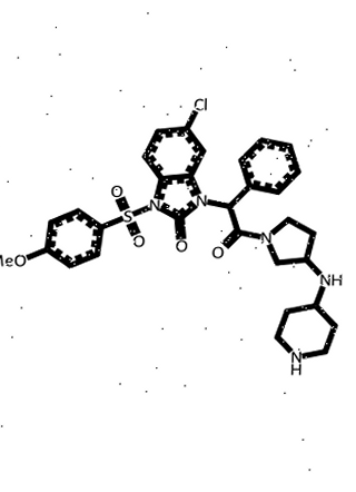 COc1ccc(S(=O)(=O)n2c(=O)n(C(C(=O)N3CCC(NC4CCNCC4)C3)c3ccccc3)c3cc(Cl)ccc32)cc1